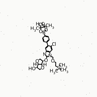 CC1(C)OB(c2ccc(-c3cc4nc(O[C@@H]5CO[C@H]6[C@@H]5OC[C@H]6O)n(COCC[Si](C)(C)C)c4cc3Cl)cc2)OC1(C)C